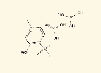 Cc1ccc(C(C)(C)C)c(O)c1.OP(O)O.OP(O)O